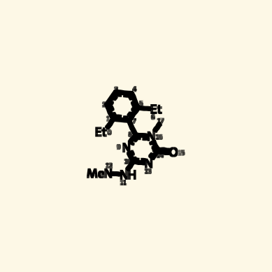 CCc1cccc(CC)c1-c1nc(NNC)nc(=O)n1C